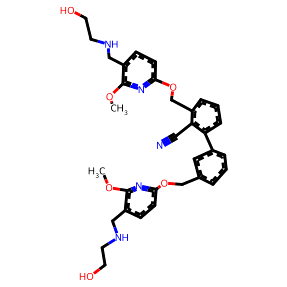 COc1nc(OCc2cccc(-c3cccc(COc4ccc(CNCCO)c(OC)n4)c3C#N)c2)ccc1CNCCO